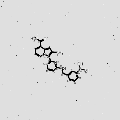 Cc1cc2c(C(N)=O)cccn2c1-c1nccc(NCc2cccc(B(O)O)c2)n1